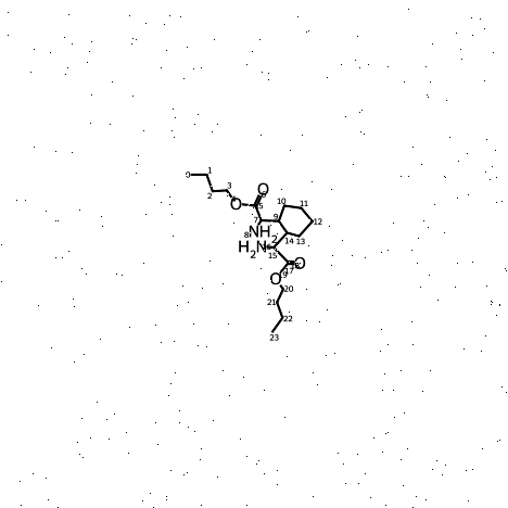 CCCCOC(=O)C(N)C1CCCCC1C(N)C(=O)OCCCC